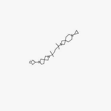 CC(C)(CCC(C)(C)N1CC2(CCN(C3COC3)C2)C1)N1CC2(CCN(C3CC3)CC2)C1